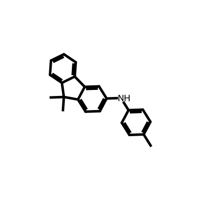 Cc1ccc(Nc2ccc3c(c2)-c2ccccc2C3(C)C)cc1